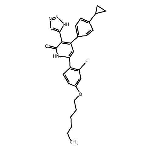 CCCCCCOc1ccc(-c2cc(-c3ccc(C4CC4)cc3)c(-c3nnn[nH]3)c(=O)[nH]2)c(F)c1